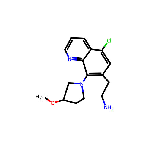 COC1CCN(c2c(CCN)cc(Cl)c3cccnc23)C1